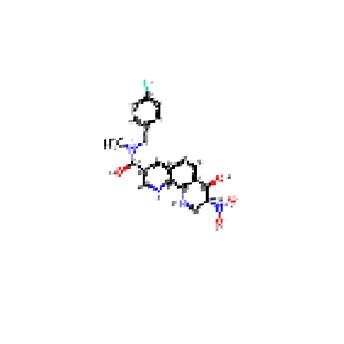 CN(Cc1ccc(F)cc1)C(=O)c1cnc2c3c(ccc2c1)C(=O)C([N+](=O)[O-])C=N3